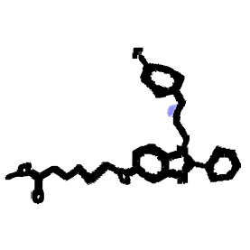 COC(=O)CCCCCOc1ccc2c(c1)nc(-c1ccccc1)n2C/C=C/c1ccc(F)cc1